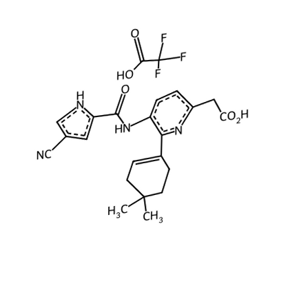 CC1(C)CC=C(c2nc(CC(=O)O)ccc2NC(=O)c2cc(C#N)c[nH]2)CC1.O=C(O)C(F)(F)F